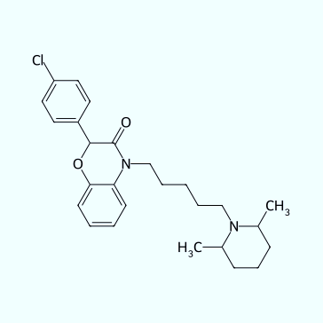 CC1CCCC(C)N1CCCCCN1C(=O)C(c2ccc(Cl)cc2)Oc2ccccc21